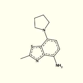 Cc1nc2c(N)ccc(N3CCCC3)c2s1